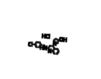 Cl.OC1CCN(c2cc(NCc3ccc(Cl)cc3)nc3ccccc23)C1